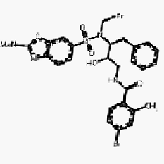 CNc1nc2ccc(S(=O)(=O)N(CC(C)C)C(Cc3ccccc3)C(O)CNC(=O)c3ccc(Br)cc3C)cc2o1